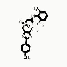 Cc1ccc(-c2nc(CS(=O)(=O)CC(=O)Nc3c(C)cccc3C)c(C)o2)cc1